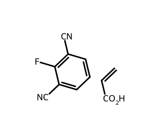 C=CC(=O)O.N#Cc1cccc(C#N)c1F